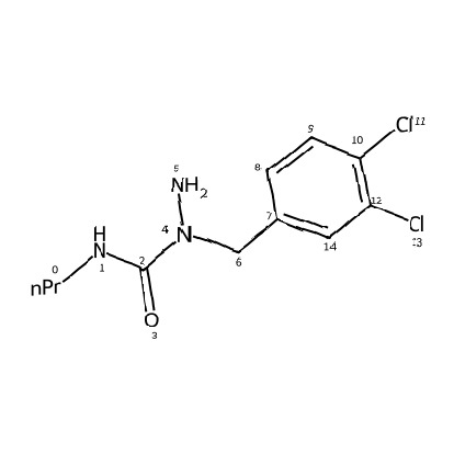 CCCNC(=O)N(N)Cc1ccc(Cl)c(Cl)c1